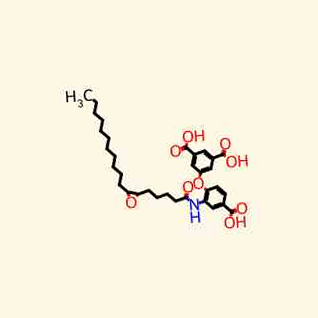 CCCCCCCCCCCC1OC1CCCCC(=O)Nc1cc(C(=O)O)ccc1Oc1cc(C(=O)O)cc(C(=O)O)c1